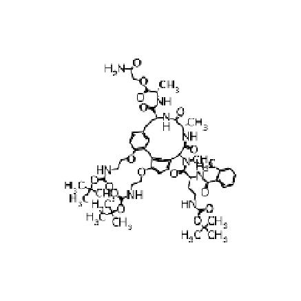 Cc1ccccc1C(=O)N[C@@H](CCNC(=O)OC(C)(C)C)C(=O)N(C)[C@@H]1C(=O)N[C@@H](C)C(=O)N[C@H](C(=O)N[C@@H](C)C(=O)OCC(N)=O)Cc2ccc(OCCNC(=O)OC(C)(C)C)c(c2)-c2cc1ccc2OCCNC(=O)OC(C)(C)C